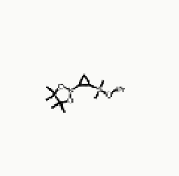 CC(C)O[Si](C)(C)C1CC1B1OC(C)(C)C(C)(C)O1